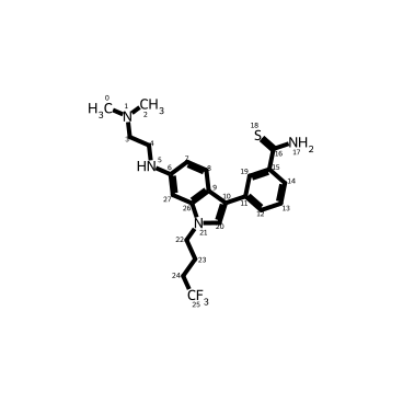 CN(C)CCNc1ccc2c(-c3cccc(C(N)=S)c3)cn(CCCC(F)(F)F)c2c1